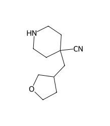 N#CC1(CC2CCOC2)CCNCC1